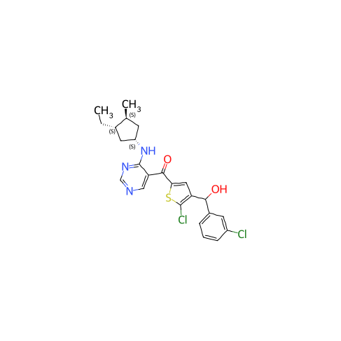 CC[C@H]1C[C@@H](Nc2ncncc2C(=O)c2cc(C(O)c3cccc(Cl)c3)c(Cl)s2)C[C@@H]1C